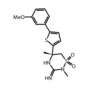 COc1cccc(-c2ccc([C@]3(C)CS(=O)(=O)N(C)C(=N)N3)s2)c1